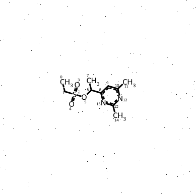 CCS(=O)(=O)OC(C)c1cc(C)nc(C)n1